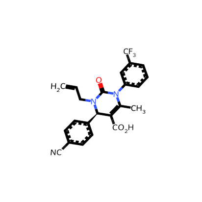 C=CCN1C(=O)N(c2cccc(C(F)(F)F)c2)C(C)=C(C(=O)O)[C@H]1c1ccc(C#N)cc1